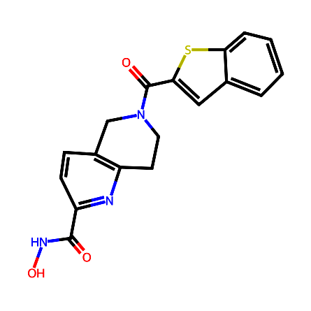 O=C(NO)c1ccc2c(n1)CCN(C(=O)c1cc3ccccc3s1)C2